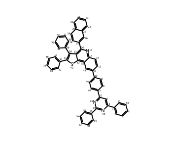 c1ccc(-c2cc(-c3ccc(-c4ccc5nc(-c6ccc7ccccc7c6)c6c(-c7ccccc7)c(-c7ccccc7)sc6c5c4)cc3)nc(-c3ccccc3)n2)cc1